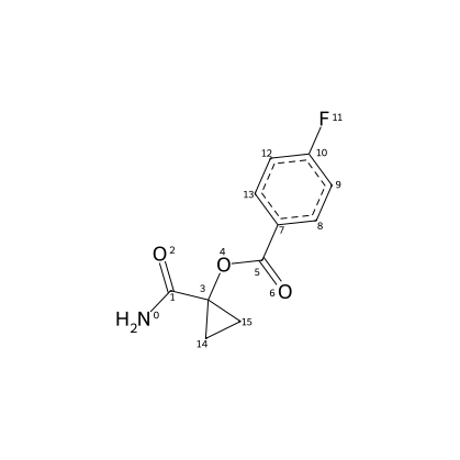 NC(=O)C1(OC(=O)c2ccc(F)cc2)CC1